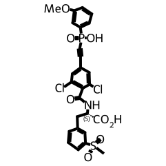 COc1cccc(P(=O)(O)C#Cc2cc(Cl)c(C(=O)N[C@@H](Cc3cccc(S(C)(=O)=O)c3)C(=O)O)c(Cl)c2)c1